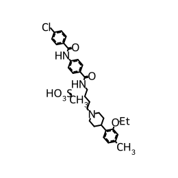 CCOc1cc(C)ccc1C1CCN(CCCCNC(=O)c2ccc(NC(=O)c3ccc(Cl)cc3)cc2)CC1.CS(=O)(=O)O